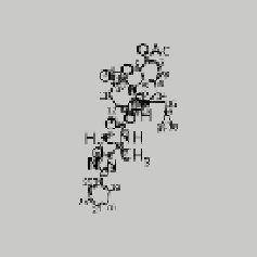 CC(=O)Oc1ccc2c3c1O[C@H]1C(=O)CC[C@H](OC(=O)NC(C)(C)c4nc(-c5ccccc5)no4)[C@@H]4[C@@H](C2)N(CC2CC2)CC[C@@]341